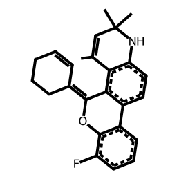 CC1=CC(C)(C)Nc2ccc3c(c21)/C(=C1\C=CCCC1)Oc1c(F)cccc1-3